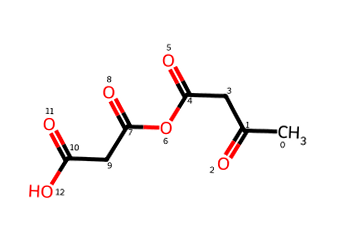 CC(=O)CC(=O)OC(=O)CC(=O)O